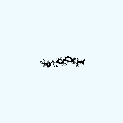 Cl.Cn1c(C2CC2)nc2ccc(-n3ccc(OCc4ccc(C(F)(F)F)s4)cc3=O)cc21